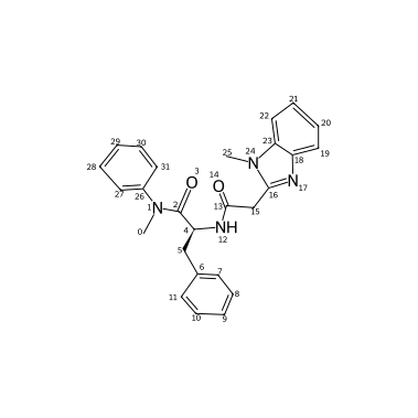 CN(C(=O)[C@H](Cc1ccccc1)NC(=O)Cc1nc2ccccc2n1C)c1ccccc1